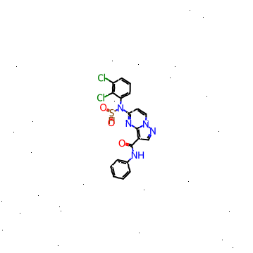 O=C(Nc1ccccc1)c1cnn2ccc(N(c3cccc(Cl)c3Cl)[SH](=O)=O)nc12